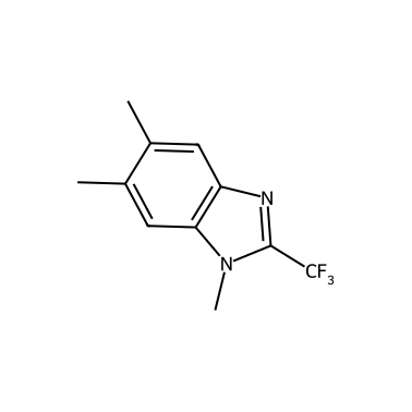 Cc1cc2nc(C(F)(F)F)n(C)c2cc1C